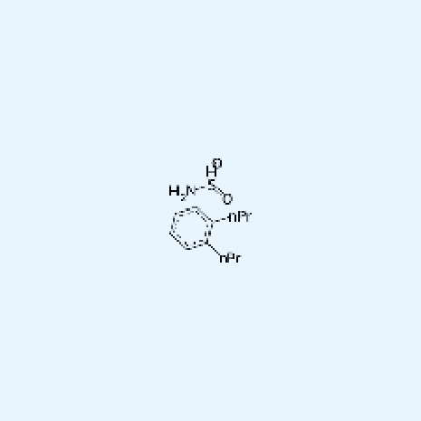 CCCc1ccccc1CCC.N[SH](=O)=O